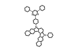 c1ccc(-c2cc(-c3ccccc3)nc(-c3ccc(-n4c5cc6ccccc6cc5c5c6c7cc8ccccc8cc7n(-c7ccccc7)c6ccc54)cc3)n2)cc1